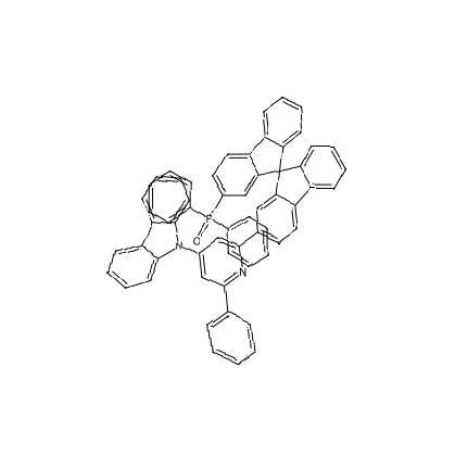 O=P(c1ccccc1)(c1ccccc1)c1ccc2c(c1)C1(c3ccccc3-c3ccc(-c4cc(-n5c6ccccc6c6ccccc65)cc(-c5ccccc5)n4)cc31)c1ccccc1-2